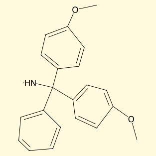 COc1ccc(C([NH])(c2ccccc2)c2ccc(OC)cc2)cc1